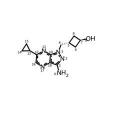 Nc1nn(C[C@H]2C[C@H](O)C2)c2nc(C3CC3)cnc12